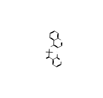 CC(C)(Sc1ccnc2ccccc12)C(=O)c1cccnc1N